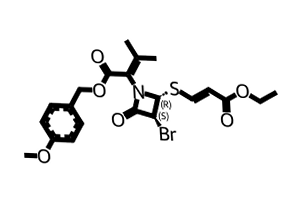 CCOC(=O)C=CS[C@@H]1[C@@H](Br)C(=O)N1C(C(=O)OCc1ccc(OC)cc1)=C(C)C